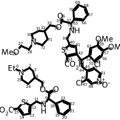 CCN1CCC(COC(=O)C(NCc2ccc(C(=O)O)s2)c2ccccc2)CC1.COCCN1CCC(COC(=O)[C@@H](NCc2cc(C(Cc3c(Cl)c[n+]([O-])cc3Cl)c3ccc(OC)c(OC)c3)c(C(=O)O)s2)c2ccccc2)CC1